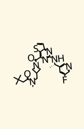 C[C@H](Nc1nc(C(=O)N2CC(CN(C)C(=O)CC(C)(C)C)C2)c2sccc2n1)c1cncc(F)c1